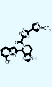 O=C(c1nnc(-c2cnn(C(F)(F)F)c2)o1)N1CCc2[nH]cnc2C1c1cc2cccc(C(F)(F)F)n2n1